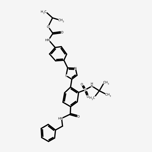 CC(C)OC(=O)Nc1ccc(-c2ncc(-c3ccc(C(=O)NCc4ccccc4)cc3S(=O)(=O)NC(C)(C)C)s2)cc1